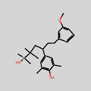 COc1cccc(CCC(CC(C)(C)[Si](C)(C)O)c2cc(C)c(O)c(C)c2)c1